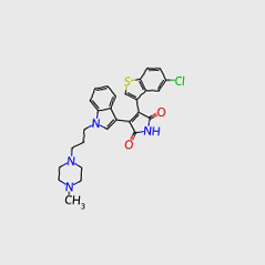 CN1CCN(CCCn2cc(C3=C(c4csc5ccc(Cl)cc45)C(=O)NC3=O)c3ccccc32)CC1